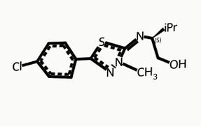 CC(C)[C@@H](CO)N=c1sc(-c2ccc(Cl)cc2)nn1C